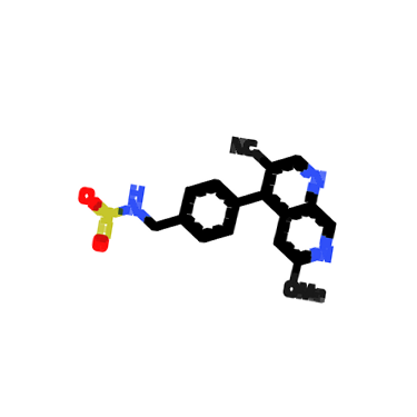 COc1cc2c(-c3ccc(CN[SH](=O)=O)cc3)c(C#N)cnc2cn1